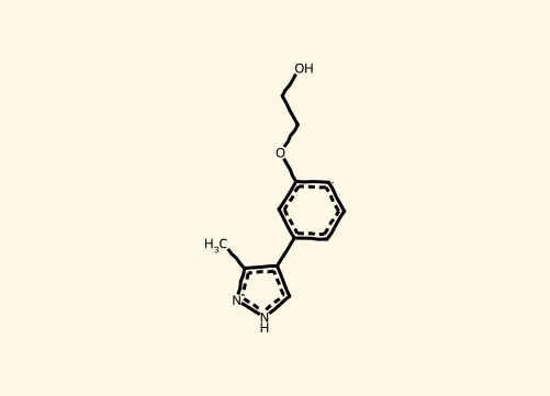 Cc1n[nH]cc1-c1cc[c]c(OCCO)c1